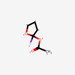 CC(=O)OC1(I)CCCO1